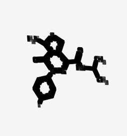 CC(C)NC(=O)c1nn(-c2ccc(I)cc2)c(=O)c2c(N)scc12